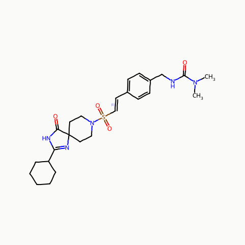 CN(C)C(=O)NCc1ccc(/C=C/S(=O)(=O)N2CCC3(CC2)N=C(C2CCCCC2)NC3=O)cc1